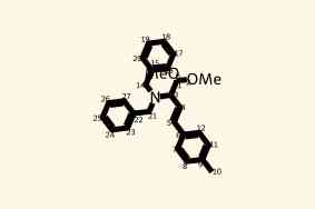 COC(OC)C(C=Cc1ccc(C)cc1)N(Cc1ccccc1)Cc1ccccc1